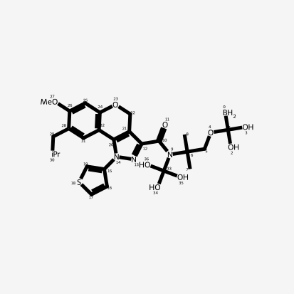 BC(O)(O)OCC(C)(C)N(C(=O)c1nn(-c2ccsc2)c2c1COc1cc(OC)c(CC(C)C)cc1-2)C(O)(O)O